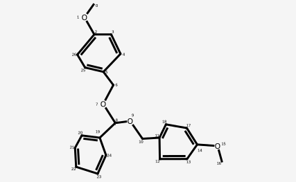 COc1ccc(CO[C](OCc2ccc(OC)cc2)c2ccccc2)cc1